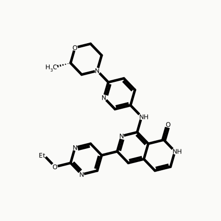 CCOc1ncc(-c2cc3cc[nH]c(=O)c3c(Nc3ccc(N4CCO[C@@H](C)C4)nc3)n2)cn1